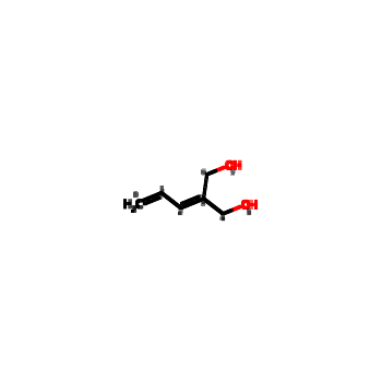 C=CC=C(CO)CO